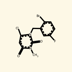 Cn1c(=O)cc(Cl)n(Cc2cc(F)ccc2Br)c1=O